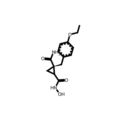 CCOc1ccc(C[C@]2(C(N)=O)CC2C(=O)NO)cc1